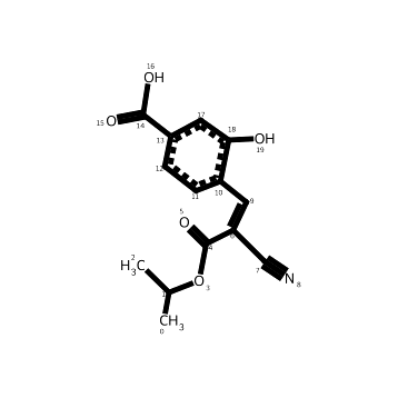 CC(C)OC(=O)C(C#N)=Cc1ccc(C(=O)O)cc1O